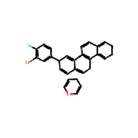 C1=COC=CC1.Fc1ccc(C2C=CC3=CCc4c(ccc5c4=CCCC=5)C3=C2)cc1Br